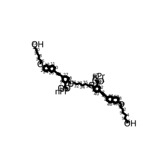 CCCOC(=O)c1cc(C#Cc2ccc3cc(OCCCCCCO)ccc3c2)ccc1OCCCCCCOc1ccc(C#Cc2ccc3cc(OCCCCCCO)ccc3c2)cc1C(=O)OCCC